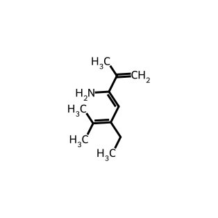 C=C(C)/C(N)=C/C(CC)=C(C)C